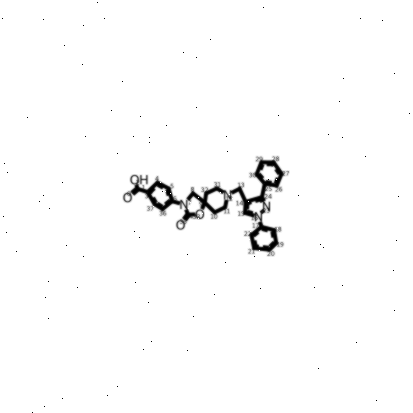 O=C(O)c1ccc(N2CC3(CCN(Cc4cn(-c5ccccc5)nc4-c4ccccc4)CC3)OC2=O)cc1